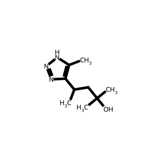 Cc1[nH]nnc1C(C)CC(C)(C)O